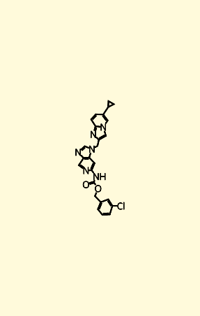 O=C(Nc1cc2c(cn1)ncn2Cc1cn2cc(C3CC3)ccc2n1)OCc1cccc(Cl)c1